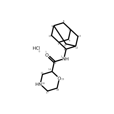 Cl.O=C(NC1C2CC3CC(C2)CC1C3)C1CNCCO1